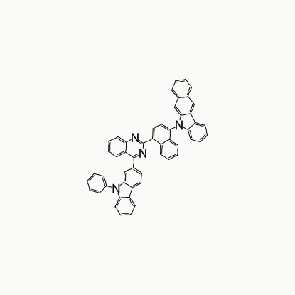 c1ccc(-n2c3ccccc3c3ccc(-c4nc(-c5ccc(-n6c7ccccc7c7cc8ccccc8cc76)c6ccccc56)nc5ccccc45)cc32)cc1